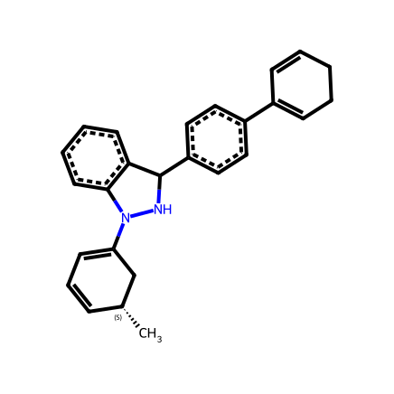 C[C@@H]1C=CC=C(N2NC(c3ccc(C4=CCCC=C4)cc3)c3ccccc32)C1